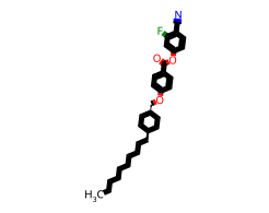 CCCCCCCCCC[C@H]1CC[C@H](COc2ccc(C(=O)Oc3ccc(C#N)c(F)c3)cc2)CC1